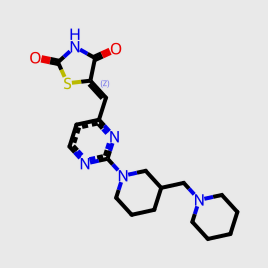 O=C1NC(=O)/C(=C/c2ccnc(N3CCCC(CN4CCCCC4)C3)n2)S1